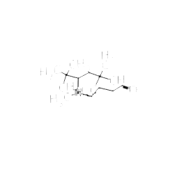 CN(CCCC=O)C(CC(C)(C)C)C(C)(C)C